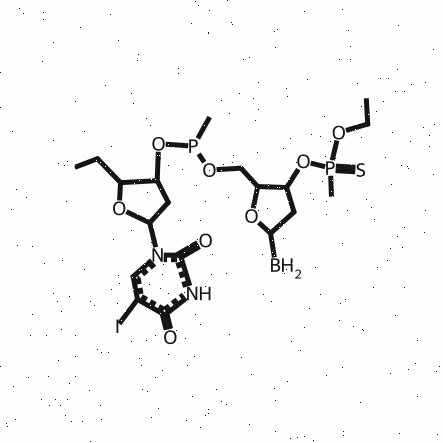 BC1CC(OP(C)(=S)OCC)C(COP(C)OC2CC(n3cc(I)c(=O)[nH]c3=O)OC2CC)O1